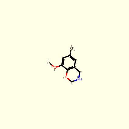 CCOc1cc(C(F)(F)F)cc2c1OCNC2